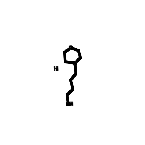 I.OCCCCN1CCOCC1